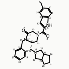 Cc1ccc2[nH]c(C(=O)N3CC(=O)N(Cc4ccccc4)[C@@H](CN4CC5CCCC5C4)C3)cc2c1